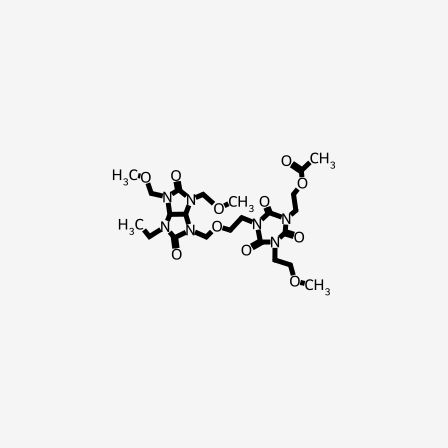 CCN1C(=O)N(COCCn2c(=O)n(CCOC)c(=O)n(CCOC(C)=O)c2=O)C2C1N(COC)C(=O)N2COC